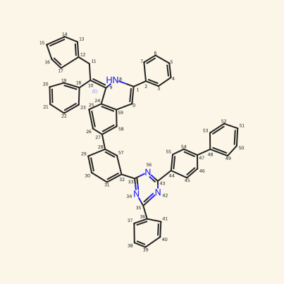 C1=C(c2ccccc2)N/C(=C(\Cc2ccccc2)c2ccccc2)c2ccc(-c3cccc(-c4nc(-c5ccccc5)nc(-c5ccc(-c6ccccc6)cc5)n4)c3)cc21